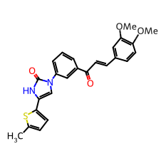 COc1ccc(C=CC(=O)c2cccc(-n3cc(-c4ccc(C)s4)[nH]c3=O)c2)cc1OC